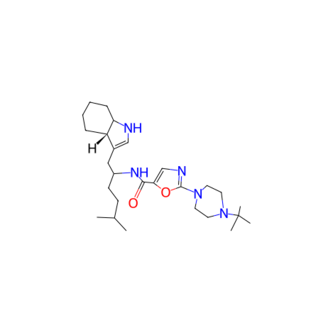 CC(C)CCC(CC1=CNC2CCCC[C@@H]12)NC(=O)c1cnc(N2CCN(C(C)(C)C)CC2)o1